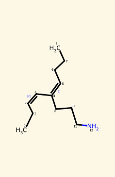 CC/C=C\C(=C/CCC)CCCN